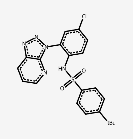 CC(C)(C)c1ccc(S(=O)(=O)Nc2ccc(Cl)cc2-n2nnc3cccnc32)cc1